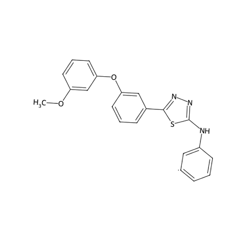 COc1cccc(Oc2cccc(-c3nnc(Nc4c[c]ccc4)s3)c2)c1